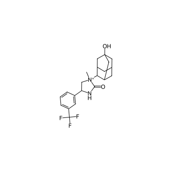 C[N+]1(C2C3CC4CC2CC(O)(C4)C3)CC(c2cccc(C(F)(F)F)c2)NC1=O